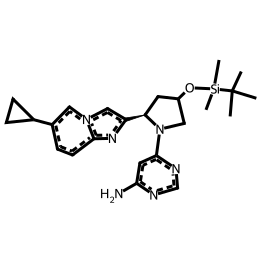 CC(C)(C)[Si](C)(C)OC1C[C@H](c2cn3cc(C4CC4)ccc3n2)N(c2cc(N)ncn2)C1